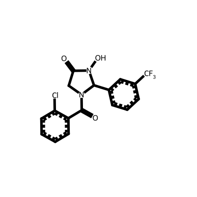 O=C1CN(C(=O)c2ccccc2Cl)C(c2cccc(C(F)(F)F)c2)N1O